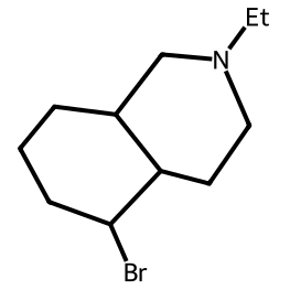 CCN1CCC2C(Br)CCCC2C1